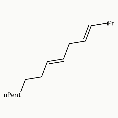 [CH2]CCCCCCC=CCC=CC(C)C